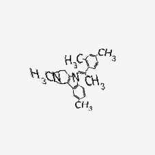 C/C(=C\n1c2c(c3cc(C)ccc31)C1CCC(C2)N1C)c1ccc(C)cc1C